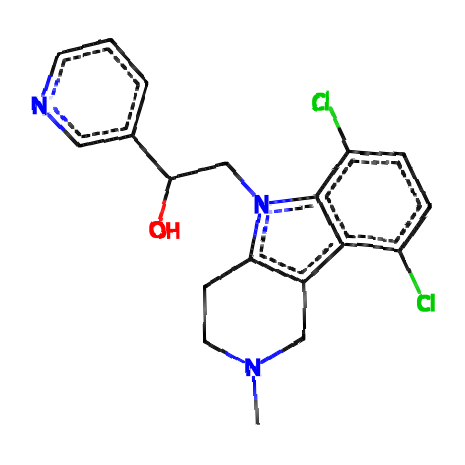 CN1CCc2c(c3c(Cl)ccc(Cl)c3n2CC(O)c2cccnc2)C1